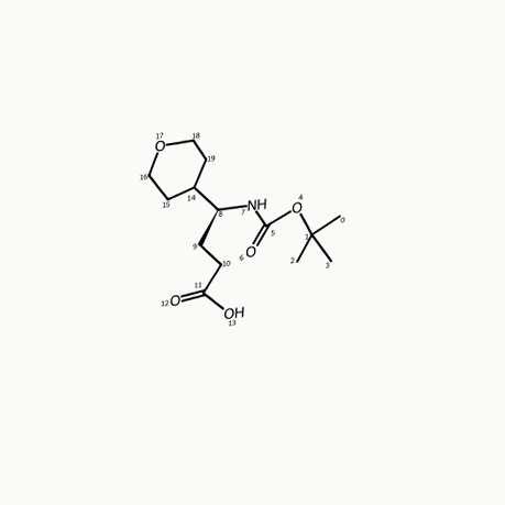 CC(C)(C)OC(=O)N[C@@H](CCC(=O)O)C1CCOCC1